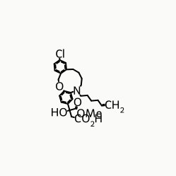 C=CCCCCN1CCCCc2cc(Cl)ccc2COc2ccc(C(O)(CC(=O)O)C(=O)OC)cc21